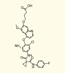 COc1cc2c(Oc3ccc(NC(=O)C4(C(=O)Nc5ccc(F)cc5)CC4)cc3Cl)ccnc2cc1OCCCC(=O)O.N